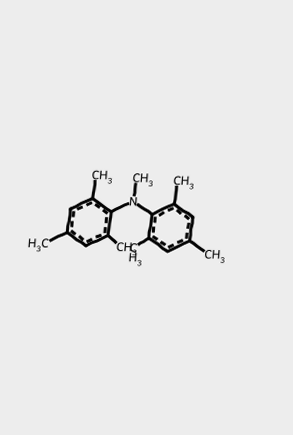 Cc1cc(C)c(N(C)c2c(C)cc(C)cc2C)c(C)c1